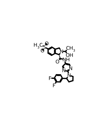 CC(O)N1Cc2cc(S(C)(=O)=O)ccc2[C@@H]1C(=O)Nc1cnc(N2CCCC2c2ccc(F)c(F)c2)nc1